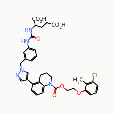 Cc1c(Cl)cccc1OCCOC(=O)N1CCCc2c(-c3cnn(Cc4cccc(NC(=O)N[C@H](CCC(=O)O)C(=O)O)c4)c3)cccc21